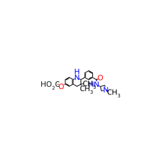 CN1CC(NC(=O)c2cccc(C3Nc4ccc(OC(=O)O)cc4CC3(C)C)c2)C1